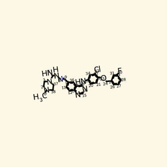 CN1CCN(C(=N)N/N=C/c2ccc3ncnc(Nc4ccc(OCc5cccc(F)c5)c(Cl)c4)c3c2)CC1